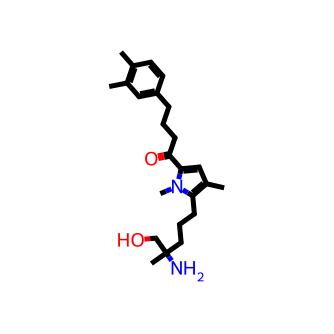 Cc1ccc(CCCC(=O)c2cc(C)c(CCCC(C)(N)CO)n2C)cc1C